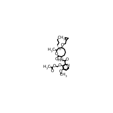 CCCC[C@H]1[C@H](C)OC(=O)[C@@H](NC(=O)c2nccc(OC)c2OCOC(C)=O)CCC[C@@H]1OCC1CC1